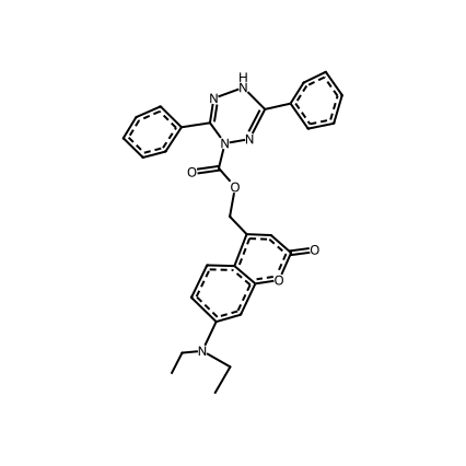 CCN(CC)c1ccc2c(COC(=O)N3N=C(c4ccccc4)NN=C3c3ccccc3)cc(=O)oc2c1